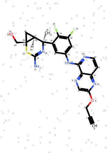 C#CCOc1cnc2c(Nc3cc(F)c(F)c([C@@]4(C)N=C(N)S[C@]5(CO)C[C@H]54)c3)nccc2n1